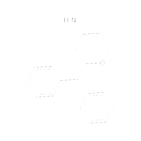 NC1CCO[C@H](C(c2ccccc2)c2ccccc2)C1